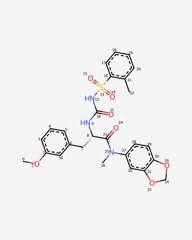 COc1cccc(C[C@H](NC(=O)NS(=O)(=O)c2ccccc2C)C(=O)N(C)c2ccc3c(c2)OCO3)c1